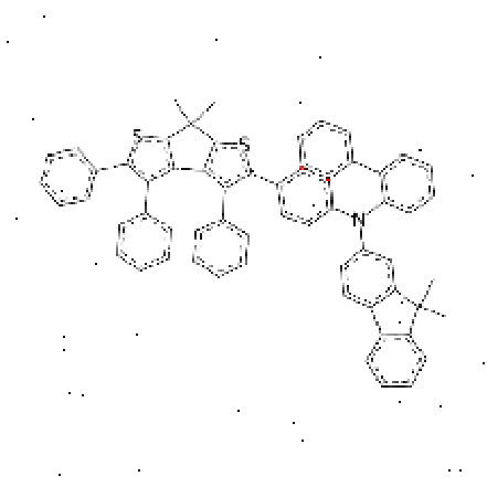 CC1(C)c2ccccc2-c2ccc(N(c3ccc(-c4sc5c(c4-c4ccccc4)-c4c(sc(-c6ccccc6)c4-c4ccccc4)C5(C)C)cc3)c3ccccc3-c3ccccc3)cc21